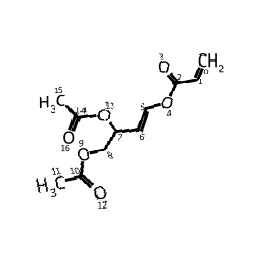 C=CC(=O)OC=CC(COC(C)=O)OC(C)=O